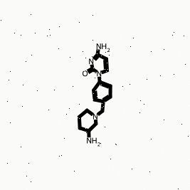 Nc1ccn(-c2ccc(CN3CCCC(N)C3)cc2)c(=O)n1